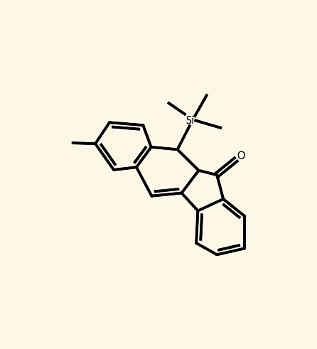 Cc1ccc2c(c1)C=C1c3ccccc3C(=O)C1C2[Si](C)(C)C